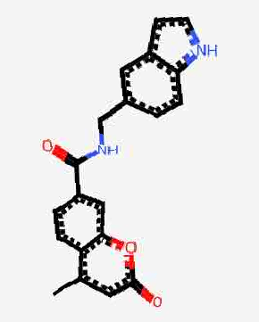 Cc1cc(=O)oc2cc(C(=O)NCc3ccc4[nH]ccc4c3)ccc12